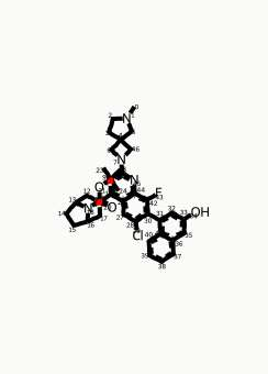 CN1CCC2(C1)CN(c1nc(N3CC4CCC(C3)N4C(=O)OC(C)(C)C)c3cc(Cl)c(-c4cc(O)cc5ccccc45)c(F)c3n1)C2